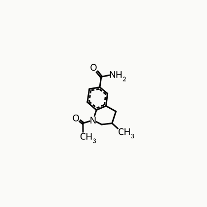 CC(=O)N1CC(C)Cc2cc(C(N)=O)ccc21